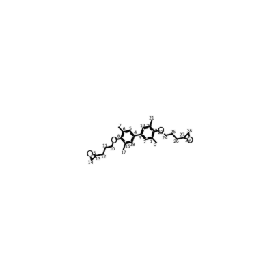 Cc1cc(-c2cc(C)c(OCCCC3CO3)c(C)c2)cc(C)c1OCCCC1CO1